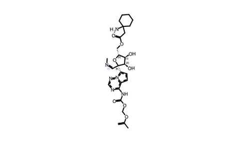 C=C(C)OCOC(=O)Nc1ncnn2c([C@]3(/C=N\C)O[C@H](COC(=O)CC4(N)CCCCC4)[C@@H](O)[C@H]3O)ccc12